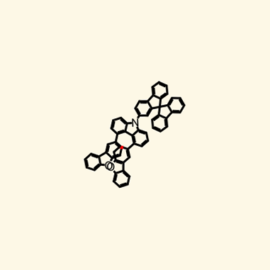 C1=C(c2cccc3c2c2c(-c4ccc5oc6ccccc6c5c4)cccc2n3-c2ccc3c(c2)C2(c4ccccc4-c4ccccc42)c2ccccc2-3)CCc2oc3ccccc3c21